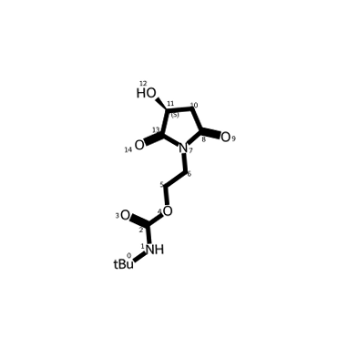 CC(C)(C)NC(=O)OCCN1C(=O)C[C@H](O)C1=O